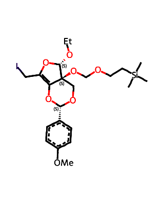 CCO[C@H]1OC(CI)=C2O[C@@H](c3ccc(OC)cc3)OC[C@]21OCOCC[Si](C)(C)C